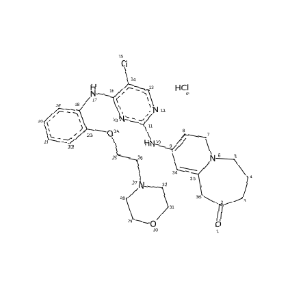 Cl.O=C1CCCN2CC=C(Nc3ncc(Cl)c(Nc4ccccc4OCCN4CCOCC4)n3)C=C2C1